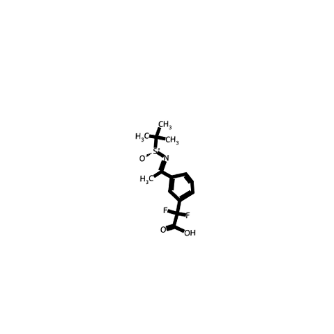 C/C(=N\[S@+]([O-])C(C)(C)C)c1cccc(C(F)(F)C(=O)O)c1